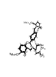 COc1ccc(Cl)c(CN(Cc2cccc(CN3C(C(=O)O)CCS3(=O)=O)c2)[C@H](CN(C)C)CC(C)(C)C)c1F